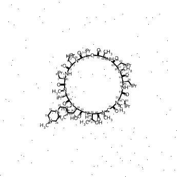 CC(C)C[C@@H]1C(=O)N[C@H](CC(C)C)C(=O)N(C)[C@H](C(C)C)C(=O)N(C)[C@H]([C@H](O)[C@H](C)CCN2CCN(C)CC2)C(=O)N[C@H]([C@@H](C)O)C(=O)N(C)CC(=O)N(C)[C@@H](CC(C)C)C(=O)N[C@H](CC(C)C)C(=O)N(C)[C@H](CC(C)C)C(=O)N[C@H](C)C(=O)O[C@@H](C(C)C)C(=O)N1C